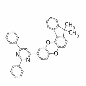 CC1(C)c2ccccc2-c2c1ccc1c2Oc2cc(-c3cc(-c4ccccc4)nc(-c4ccccc4)n3)ccc2O1